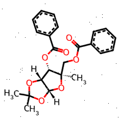 CC1(C)O[C@H]2O[C@](C)(COC(=O)c3ccccc3)[C@@H](OC(=O)c3ccccc3)[C@H]2O1